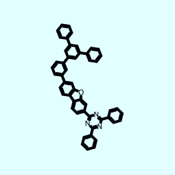 c1ccc(-c2cc(-c3ccccc3)cc(-c3cccc(-c4ccc5c(c4)oc4cc(-c6nc(-c7ccccc7)nc(-c7ccccc7)n6)ccc45)c3)c2)cc1